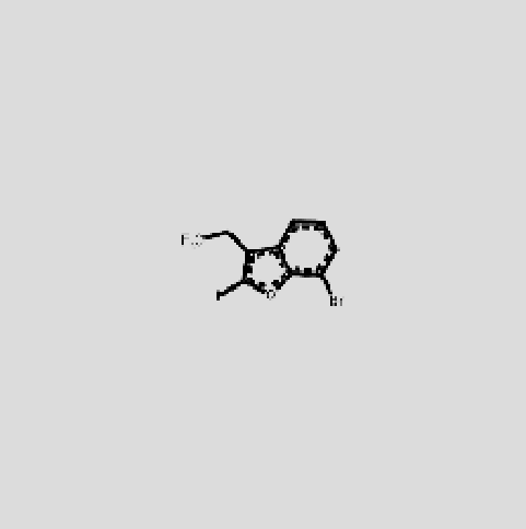 FC(F)(F)Cc1c(I)oc2c(Br)cccc12